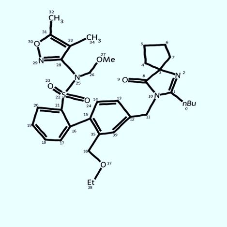 CCCCC1=NC2(CCCC2)C(=O)N1Cc1ccc(-c2ccccc2S(=O)(=O)N(COC)c2noc(C)c2C)c(COCC)c1